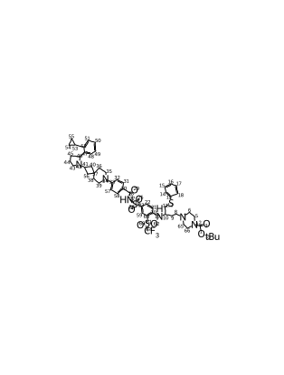 CC(C)(C)OC(=O)N1CCN(CCC(CSc2ccccc2)Nc2ccc(S(=O)(=O)NC(=O)c3ccc(N4CCC5(CC4)CC(N4CCCC4c4ccccc4C4CC4)C5)cc3)cc2S(=O)(=O)C(F)(F)F)CC1